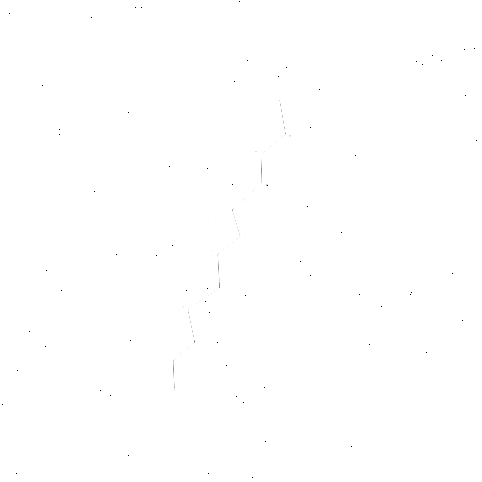 CCCCCCCCCCCCO.[BaH2]